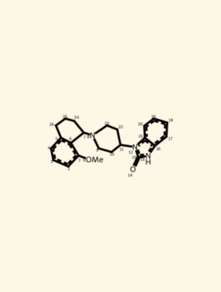 COc1cccc2c1C(N1CCC(n3c(=O)[nH]c4ccccc43)CC1)CCC2